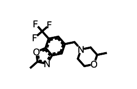 Cc1nc2cc(CN3CCOC(C)C3)cc(C(F)(F)F)c2o1